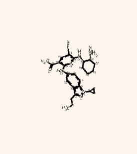 CCCc1nn(C2CC2)c2ccc(Nc3nc(N[C@@H]4CCCC[C@@H]4N)c(F)cc3C(N)=O)cc12